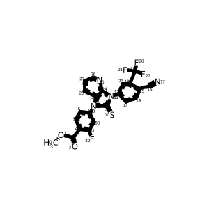 COC(=O)c1ccc(-n2c(=S)n(-c3ccc(C#N)c(C(F)(F)F)c3)c3ncccc32)cc1F